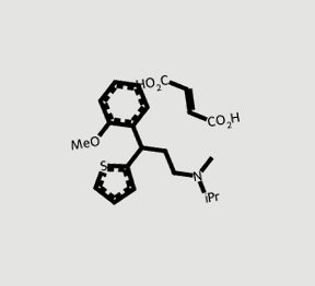 COc1ccccc1C(CCN(C)C(C)C)c1cccs1.O=C(O)C=CC(=O)O